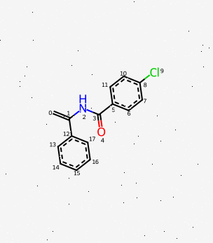 C=C(NC(=O)c1ccc(Cl)cc1)c1ccccc1